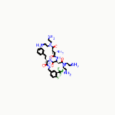 NCCN(CCN)C(=O)C[C@H](NC(=O)[C@@H](N)CC(=O)N(CCN)CCN)C(=O)N[C@@H](CCc1ccccc1)C(=O)NCc1ccc(F)c(C(F)(F)F)c1